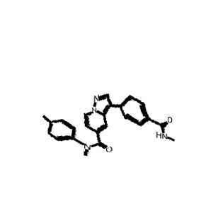 CNC(=O)c1ccc(-c2cnn3ccc(C(=O)N(C)c4ccc(C)cc4)cc23)cc1